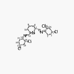 Clc1ccc(N=Cc2cccc(C=Nc3ccc(Cl)cc3Cl)n2)c(Cl)c1